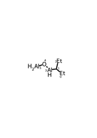 CC[CH](CC)[AlH][O][AlH2]